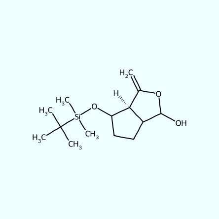 C=C1OC(O)C2CCC(O[Si](C)(C)C(C)(C)C)[C@@H]12